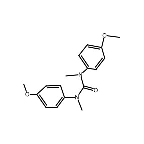 COc1ccc(N(C)C(=O)N(C)c2ccc(OC)cc2)cc1